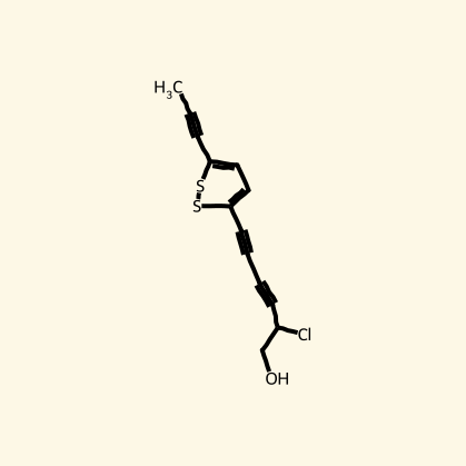 CC#CC1=CC=C(C#CC#CC(Cl)CO)SS1